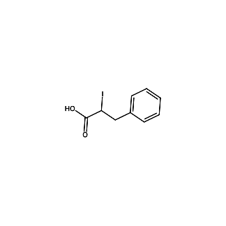 O=C(O)C(I)Cc1ccccc1